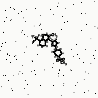 Cc1cnc2c(C(F)(F)F)cccc2c1-c1ccc(-c2ccc(S(C)(=O)=O)cc2)s1